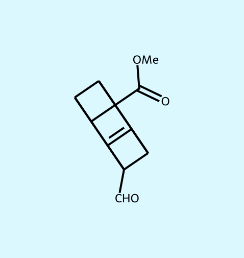 COC(=O)C12C3=C4C1C1C2C3C41C=O